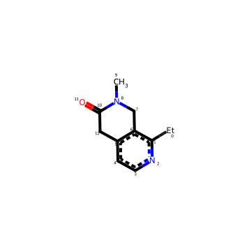 CCc1nccc2c1CN(C)C(=O)C2